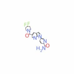 NC(=O)c1ccc(-n2ccc3cc(C(=O)N4CCC(F)(F)CC4)cnc32)cn1